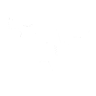 COc1ccc(COc2c(C3OCCO3)ccc(CC=O)c2F)cc1